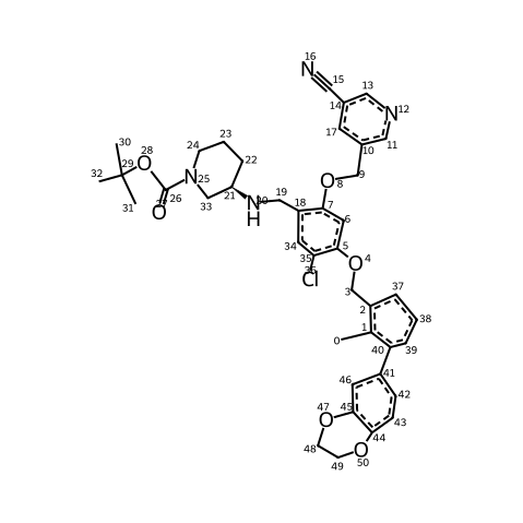 Cc1c(COc2cc(OCc3cncc(C#N)c3)c(CN[C@@H]3CCCN(C(=O)OC(C)(C)C)C3)cc2Cl)cccc1-c1ccc2c(c1)OCCO2